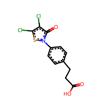 O=C(O)CCc1ccc(-n2sc(Cl)c(Cl)c2=O)cc1